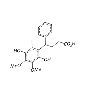 COc1c(O)c(C)c(C(CCC(=O)O)c2ccccc2)c(O)c1OC